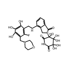 O=C1c2cccc(NCc3c(O)c(O)c(O)c(CN4CCOCC4)c3F)c2CN1C1(O)C(=O)NC(=O)C(O)(O)C1(O)O